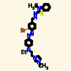 CCN(CC[n+]1ccn(C)c1)c1ccc(/N=N/c2ccc(/C=N/N=c3\sc4ccccc4n3C)cc2)cc1.[Br-]